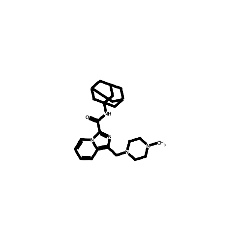 CN1CCN(Cc2nc(C(=O)NC34CC5CC(CC(C5)C3)C4)n3ccccc23)CC1